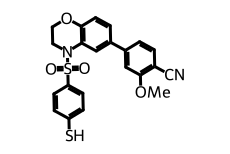 COc1cc(-c2ccc3c(c2)N(S(=O)(=O)c2ccc(S)cc2)CCO3)ccc1C#N